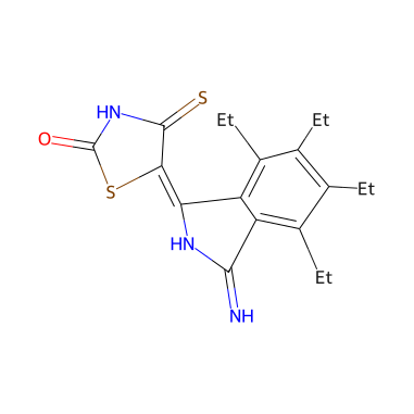 CCc1c(CC)c(CC)c2c(c1CC)C(=N)NC2=C1SC(=O)NC1=S